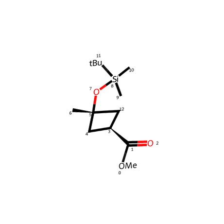 COC(=O)[C@H]1C[C@](C)(O[Si](C)(C)C(C)(C)C)C1